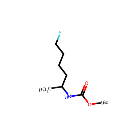 CC(C)(C)OC(=O)NC(CCCCF)C(=O)O